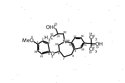 COc1ccc(OC2CCc3cc(C(O)(C(F)(F)F)C(F)(F)F)ccc3N(CC(C)C=O)C2)cc1